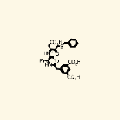 CC(C)[C@H](NC(=O)Cc1cc(C(=O)O)cc(C(=O)O)c1)C(=O)N[C@@H](CC(=O)O)C(=O)CSCc1ccccc1